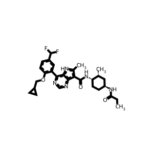 CCC(=O)N[C@H]1CC[C@H](NC(=O)c2c(C)[nH]c3c(-c4cc(C(F)F)ccc4OCC4CC4)ncnc23)[C@H](C)C1